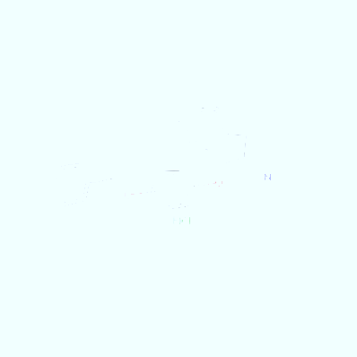 CN(C)[C@H]1Cc2ccccc2[C@H]1Oc1ccc(OCc2ccccc2)cc1.Cl